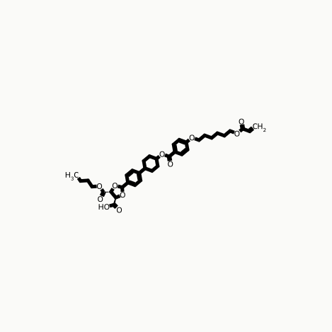 C=CC(=O)OCCCCCCOc1ccc(C(=O)OC2CCC(c3ccc(C4O[C@@H](C(=O)O)[C@H](C(=O)OCCCC)O4)cc3)CC2)cc1